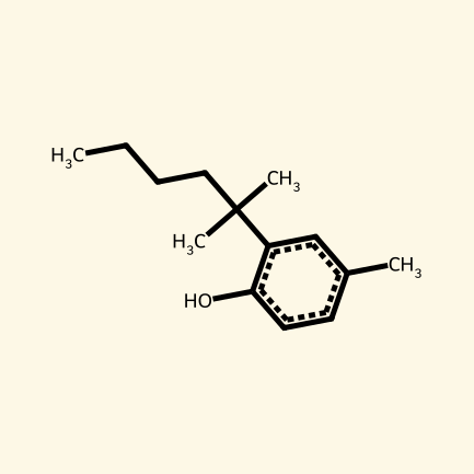 CCCCC(C)(C)c1cc(C)ccc1O